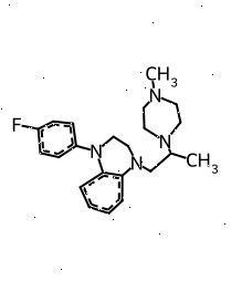 CC(CN1CCN(c2ccc(F)cc2)c2ccccc21)N1CCN(C)CC1